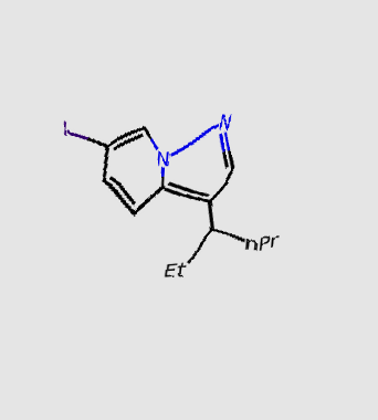 CCCC(CC)c1cnn2cc(I)ccc12